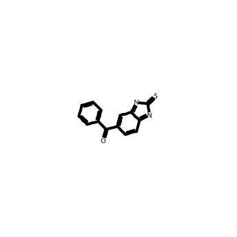 O=C(c1ccccc1)c1ccc2c(c1)=NC(=S)N=2